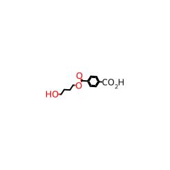 O=C(O)c1ccc(C(=O)OCCCCO)cc1